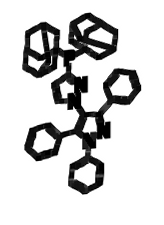 c1ccc(-c2nn(-c3ccccc3)c(-c3ccccc3)c2-n2ccc(P(C34CC5CC(CC(C5)C3)C4)C34CC5CC(CC(C5)C3)C4)n2)cc1